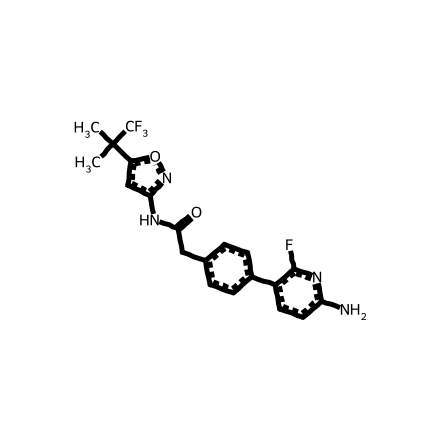 CC(C)(c1cc(NC(=O)Cc2ccc(-c3ccc(N)nc3F)cc2)no1)C(F)(F)F